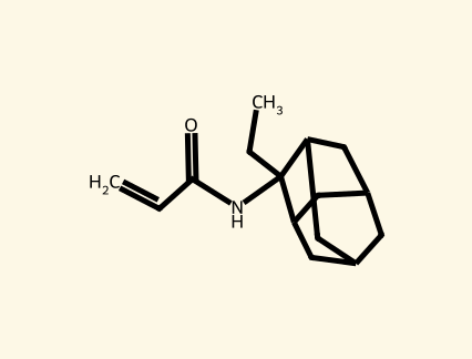 C=CC(=O)NC1(CC)C2CC3CC(C2)CC1C3